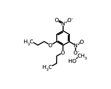 CCCOc1cc([N+](=O)[O-])cc([N+](=O)[O-])c1OCCC.CO